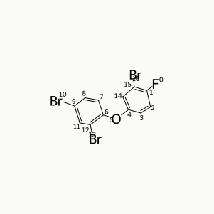 Fc1ccc(Oc2ccc(Br)cc2Br)cc1Br